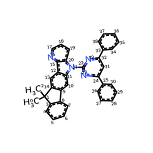 CC1(C)c2ccccc2-c2cc3c(cc21)c1ncccc1n3-c1nc(-c2ccccc2)cc(-c2ccccc2)n1